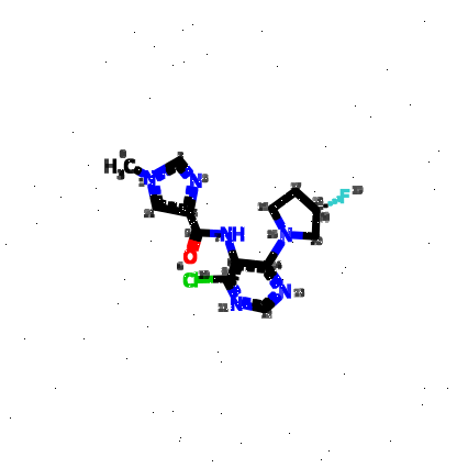 Cn1cnc(C(=O)Nc2c(Cl)ncnc2N2CC[C@H](F)C2)c1